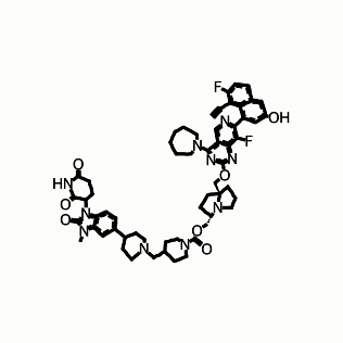 C#Cc1c(F)ccc2cc(O)cc(-c3ncc4c(N5CCCCCC5)nc(OC[C@@]56CCCN5[C@H](COC(=O)N5CCC(CN7CCC(c8ccc9c(c8)n(C)c(=O)n9C8CCC(=O)NC8=O)CC7)CC5)CC6)nc4c3F)c12